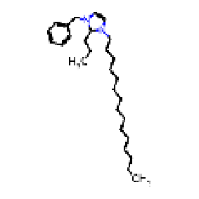 CCCCCCCCCCCCCCCN1C=CN(Cc2ccccc2)C1CCC